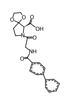 O=C(NCC(=O)N1CCC2(OCCO2)[C@H]1C(=O)O)c1ccc(-c2ccccc2)cc1